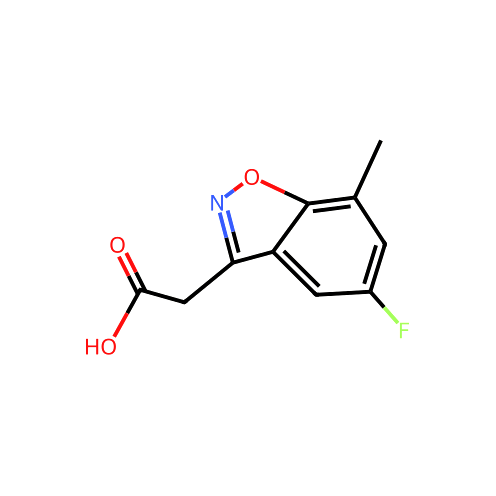 Cc1cc(F)cc2c(CC(=O)O)noc12